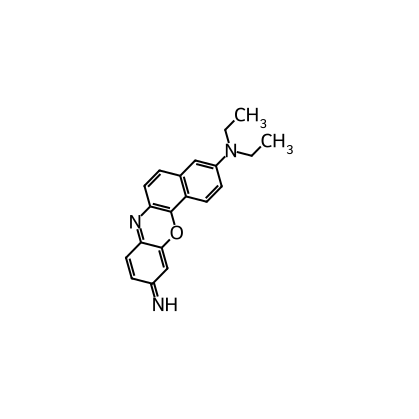 CCN(CC)c1ccc2c(ccc3nc4ccc(=N)cc-4oc32)c1